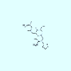 CCC(C)C(C)C(CC(C)CC(C)N)CC(C)CC(C(N)CC)C1CCCC1